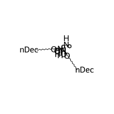 CCCCCCCCCCCCCCCCCCCCOCC(O)CNc1ccc(Nc2ccccc2)cc1NCC(O)COCCCCCCCCCCCCCCCCCCCC